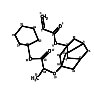 C=CC(=O)OC12CC3CC(C1)CC(OC(C)C(=O)OC1CCCCC1)(C3)C2